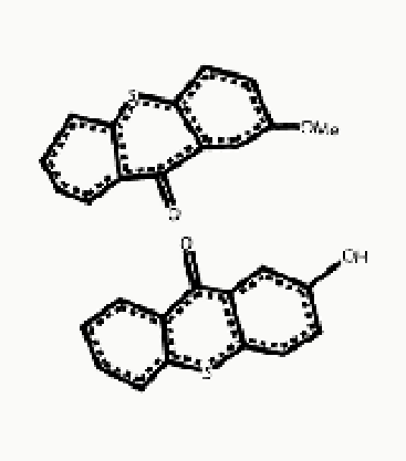 COc1ccc2sc3ccccc3c(=O)c2c1.O=c1c2ccccc2sc2ccc(O)cc12